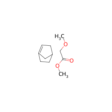 C1=C2CCC(C1)C2.COCC(=O)OC